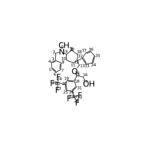 CN(Cc1ccccc1)C1CCC(COC(CO)c2cc(C(F)(F)F)cc(C(F)(F)F)c2)(c2ccccc2)CC1